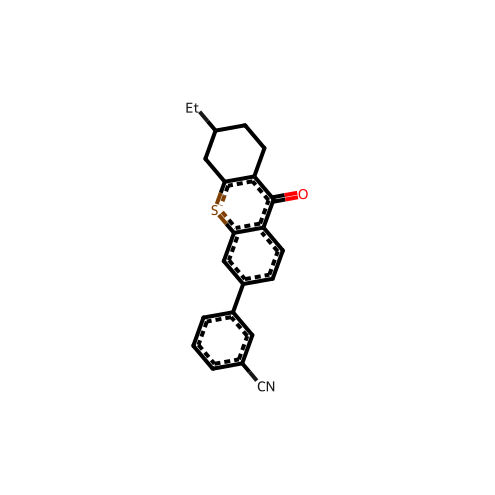 CCC1CCc2c(sc3cc(-c4cccc(C#N)c4)ccc3c2=O)C1